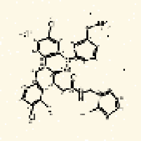 Cl.NCc1cccc(Oc2cc(Cl)ccc2N(Cc2ccc(Cl)c(Cl)c2)C(=O)CCC(=O)NCc2ccccc2F)c1